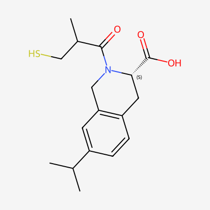 CC(CS)C(=O)N1Cc2cc(C(C)C)ccc2C[C@H]1C(=O)O